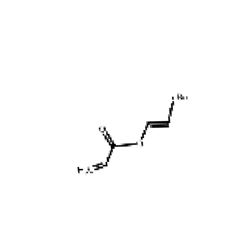 C=CC(=O)OC=CCCCC